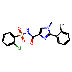 CC(C)c1ccccc1-c1nc(C(=O)NS(=O)(=O)c2ccccc2Cl)cn1C